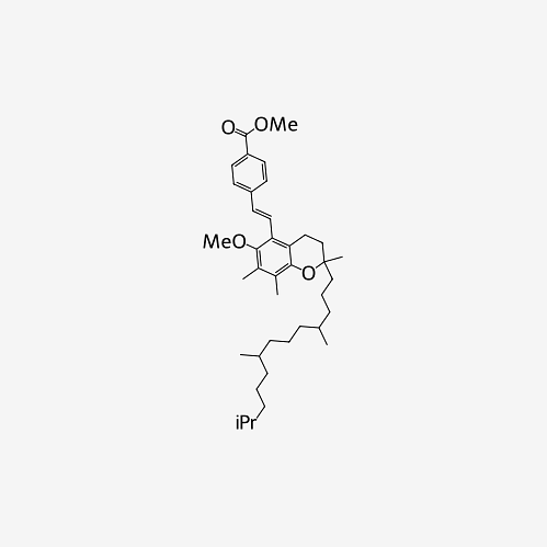 COC(=O)c1ccc(C=Cc2c3c(c(C)c(C)c2OC)OC(C)(CCCC(C)CCCC(C)CCCC(C)C)CC3)cc1